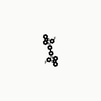 Fc1ccc(N(c2ccc(-c3ccc(N(c4ccc(F)cc4)c4cccc5c4oc4ccccc45)cc3)cc2)c2cccc3c2oc2ccccc23)cc1